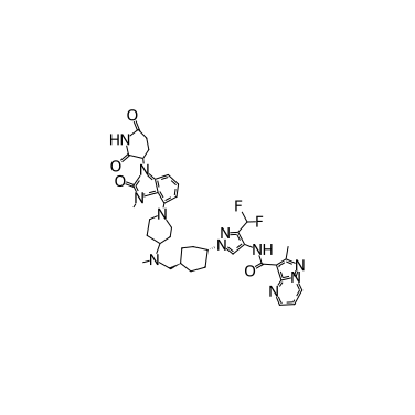 Cc1nn2cccnc2c1C(=O)Nc1cn([C@H]2CC[C@H](CN(C)C3CCN(c4cccc5c4n(C)c(=O)n5C4CCC(=O)NC4=O)CC3)CC2)nc1C(F)F